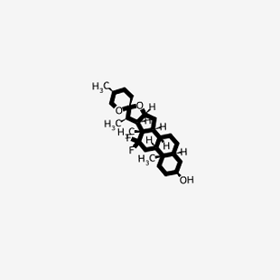 C[C@@H]1CC[C@@]2(OC1)O[C@H]1C[C@H]3[C@@H]4CC[C@H]5C[C@@H](O)CC[C@]5(C)[C@H]4CC(F)(F)[C@]3(C)[C@H]1[C@@H]2C